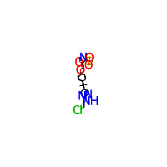 CC(C)(c1ccc(OCc2ocnc2S(C)(=O)=O)cc1)c1cnc(NCCCl)nc1